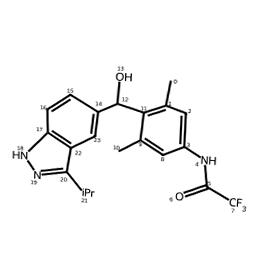 Cc1cc(NC(=O)C(F)(F)F)cc(C)c1C(O)c1ccc2[nH]nc(C(C)C)c2c1